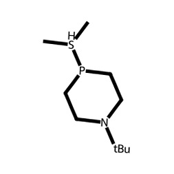 C[SH](C)P1CCN(C(C)(C)C)CC1